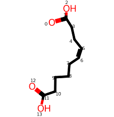 O=C(O)CC/C=C\CCCCC(=O)O